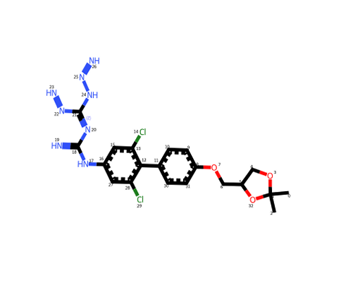 CC1(C)OCC(COc2ccc(-c3c(Cl)cc(NC(=N)/N=C(\N=N)NN=N)cc3Cl)cc2)O1